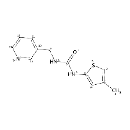 Cc1csc(NC(=O)NCc2cccnc2)c1